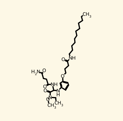 CCCCCCCCCCCCNC(=O)CCCOc1cccc(NC(NC(=O)CCC(N)=O)C(=O)N(CC)OC)c1